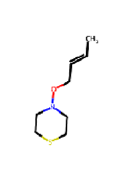 C/C=C/CON1CCSCC1